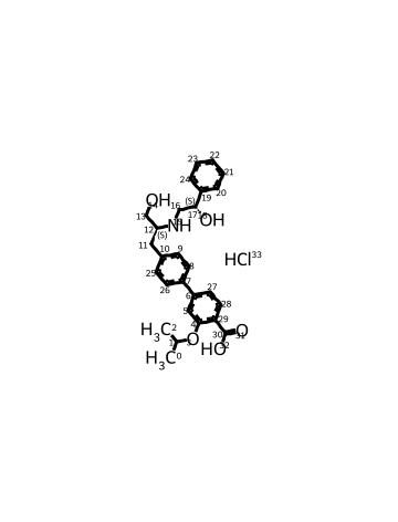 CC(C)Oc1cc(-c2ccc(C[C@@H](CO)NC[C@@H](O)c3ccccc3)cc2)ccc1C(=O)O.Cl